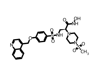 CS(=O)(=O)N1CCN([C@@H](CNS(=O)(=O)c2ccc(OCc3ccnc4ccccc34)cc2)C(=O)NO)CC1